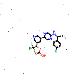 CC(Nc1cnc(-c2cncc(C(OC(O)=S)C(F)(F)F)c2)cn1)c1ccc(F)cc1